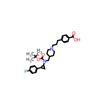 CC(C)(C)OC(=O)N(CC1CCN(CCCc2ccc(C(=O)O)cc2)CC1)C1CC1c1ccc(F)cc1